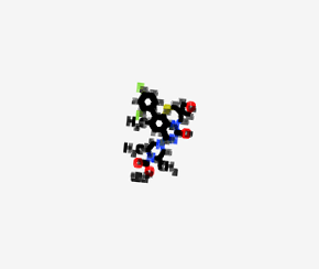 Cc1cc2c(N3C[C@@H](C)N(C(=O)OC(C)(C)C)[C@@H](C)C3)nc(=O)n3c2c(c1-c1ccc(F)cc1F)SCC1(COC1)C3